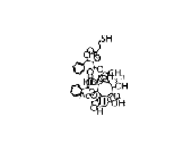 CC(=O)O[C@@]12CO[C@@H]1C[C@H](O)[C@@]1(C)C(=O)[C@H](O)C3=C(C)[C@@H](OC(=O)[C@H](OC(=O)CCS)[C@@H](C)c4ccccc4)C[C@@](O)(C(OC(=O)c4ccccc4)[C@H]21)C3(C)C